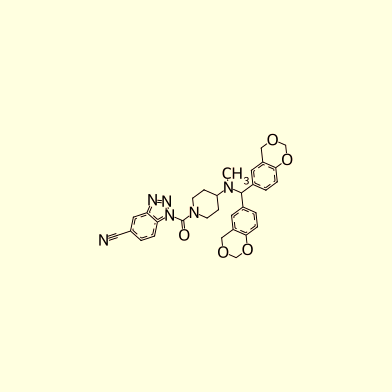 CN(C1CCN(C(=O)n2nnc3cc(C#N)ccc32)CC1)C(c1ccc2c(c1)COCO2)c1ccc2c(c1)COCO2